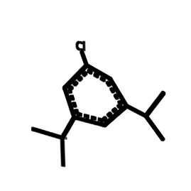 C[C](C)c1cc(Cl)cc(C(C)C)c1